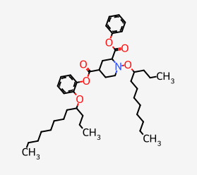 CCCCCCCCC(CCC)Oc1ccccc1OC(=O)C1CCN(OC(CCC)CCCCCCCC)C(C(=O)Oc2ccccc2)C1